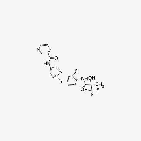 CC(O)(C(=O)Nc1ccc(Sc2ccc(NC(=O)c3cccnc3)cc2)cc1Cl)C(F)(F)F